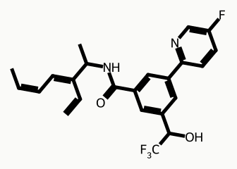 C=C/C(=C\C=C/C)C(C)NC(=O)c1cc(-c2ccc(F)cn2)cc(C(O)C(F)(F)F)c1